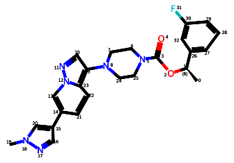 C[C@@H](OC(=O)N1CCN(c2cnn3cc(-c4cnn(C)c4)ccc23)CC1)c1cccc(F)c1